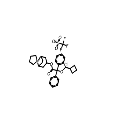 O=C(OC1CC2CCC(C1)[N+]21CCCC1)C(OC(Cl)C1CCC1)(c1ccccc1)c1ccccc1.O=S(=O)([O-])C(F)(F)F